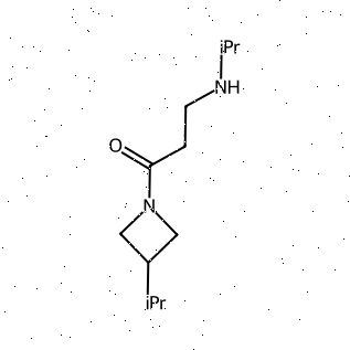 CC(C)NCCC(=O)N1CC(C(C)C)C1